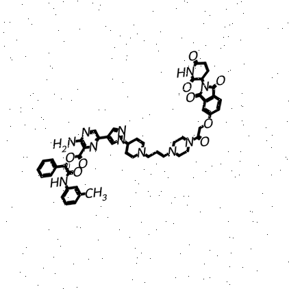 Cc1cccc(NC(=O)[C@H](OC(=O)c2nc(-c3cnn(C4CCN(CCCN5CCN(C(=O)COc6ccc7c(c6)C(=O)N(C6CCC(=O)NC6=O)C7=O)CC5)CC4)c3)cnc2N)c2ccccc2)c1